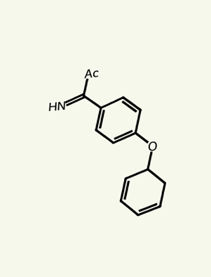 CC(=O)C(=N)c1ccc(OC2C=CC=CC2)cc1